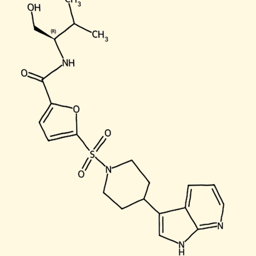 CC(C)[C@H](CO)NC(=O)c1ccc(S(=O)(=O)N2CCC(c3c[nH]c4ncccc34)CC2)o1